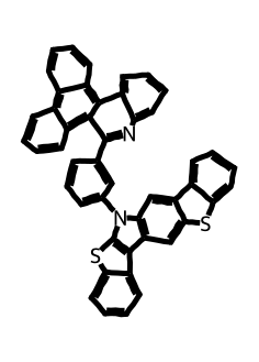 c1cc(-c2nc3ccccc3c3c4ccccc4c4ccccc4c23)cc(-n2c3cc4c(cc3c3c5ccccc5sc32)sc2ccccc24)c1